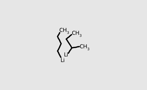 [Li][CH2]CCC.[Li][CH](C)CC